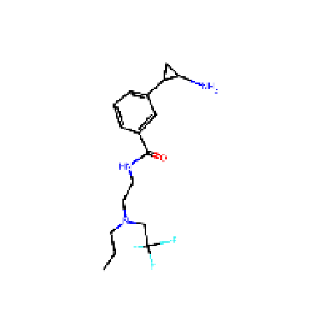 CCCN(CCNC(=O)c1cccc(C2CC2N)c1)CC(F)(F)F